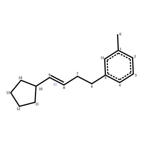 Cc1cccc(CC/C=C/C2CCCC2)c1